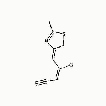 C#C/C=C(Cl)\C=C1/CSC(C)=N1